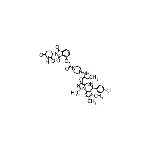 C=C(C(=O)NN1CCN(C(=O)COc2cccc3c2C(=O)N(C2CCC(=O)NC2=O)C3=O)CC1)[C@@H]1N=C(c2ccc(Cl)cc2)c2c(sc(C)c2C)-n2c(C)nnc21